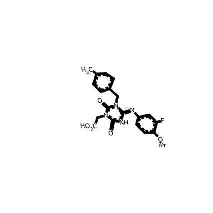 Cc1ccc(Cn2c(=O)n(CC(=O)O)c(=O)[nH]/c2=N\c2ccc(OC(C)C)c(F)c2)cc1